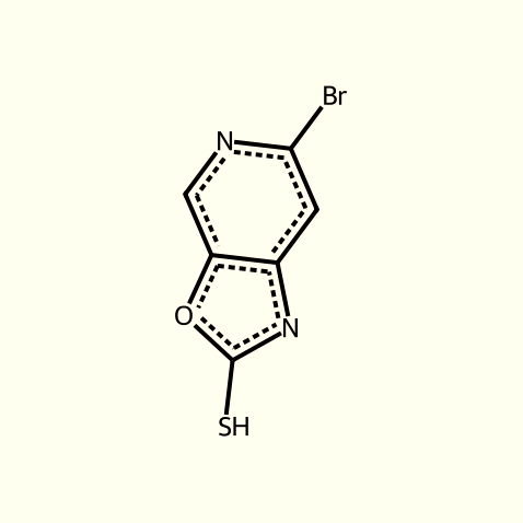 Sc1nc2cc(Br)ncc2o1